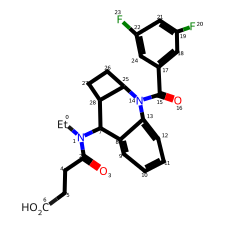 CCN(C(=O)CCC(=O)O)C1c2ccccc2N(C(=O)c2cc(F)cc(F)c2)C2CCC12